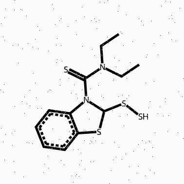 CCN(CC)C(=S)N1c2ccccc2SC1SS